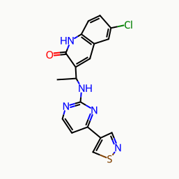 CC(Nc1nccc(-c2cnsc2)n1)c1cc2cc(Cl)ccc2[nH]c1=O